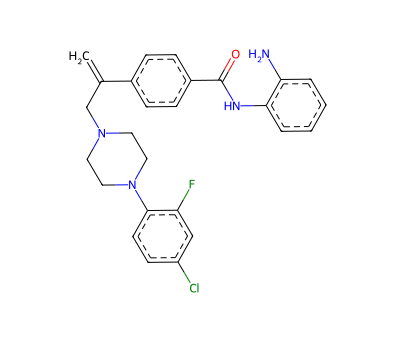 C=C(CN1CCN(c2ccc(Cl)cc2F)CC1)c1ccc(C(=O)Nc2ccccc2N)cc1